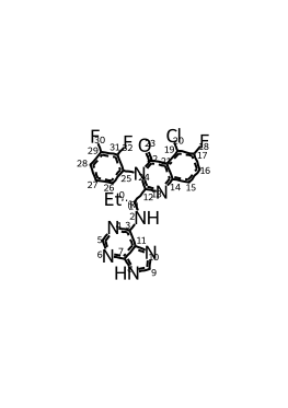 CC[C@@H](Nc1ncnc2[nH]cnc12)c1nc2ccc(F)c(Cl)c2c(=O)n1-c1cccc(F)c1F